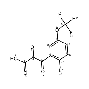 O=C(O)C(=O)C(=O)c1cc(OC(F)(F)F)ccc1Br